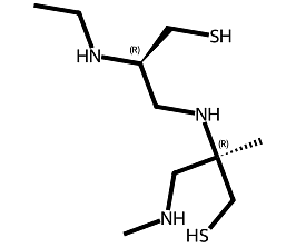 CCN[C@@H](CS)CN[C@@](C)(CS)CNC